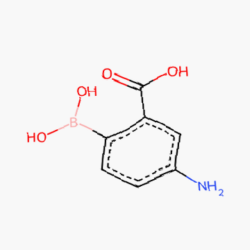 Nc1ccc(B(O)O)c(C(=O)O)c1